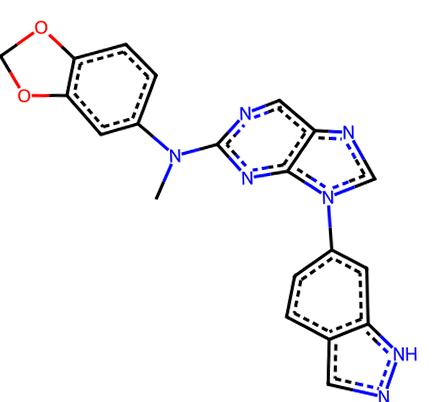 CN(c1ccc2c(c1)OCO2)c1ncc2ncn(-c3ccc4cn[nH]c4c3)c2n1